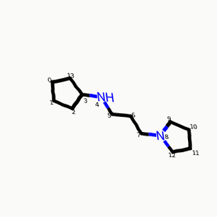 C1CCC(NCCCN2CCCC2)C1